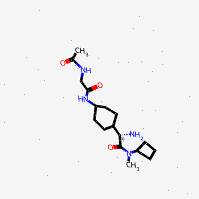 CC(=O)NCC(=O)NC1CCC([C@H](N)C(=O)N(C)C2CCC2)CC1